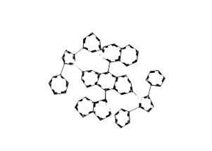 c1ccc(-c2ccc(-c3ccccc3)n2-c2ccc3c(-c4nccc5ccccc45)c4cc(-n5c(-c6ccccc6)ccc5-c5ccccc5)ccc4c(-c4nccc5ccccc45)c3c2)cc1